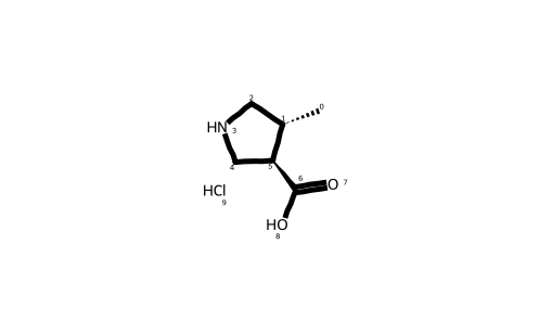 C[C@H]1CNC[C@@H]1C(=O)O.Cl